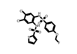 O=S(=O)(Nc1cc(Cl)c(Cl)cc1NS(=O)(=O)c1cccs1)c1ccc(OCF)cc1